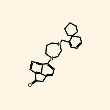 O=C1Cc2ccc(N3CCCN(CC4=CC=CCC45CCCCC5)CC3)c3cccc1c23